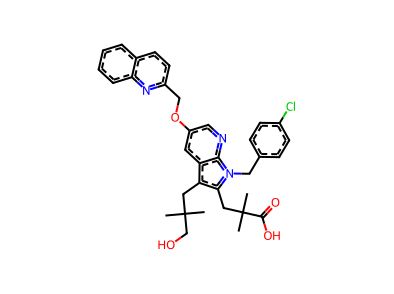 CC(C)(CO)Cc1c(CC(C)(C)C(=O)O)n(Cc2ccc(Cl)cc2)c2ncc(OCc3ccc4ccccc4n3)cc12